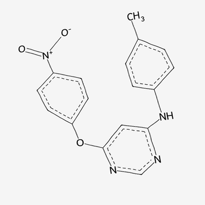 Cc1ccc(Nc2cc(Oc3ccc([N+](=O)[O-])cc3)ncn2)cc1